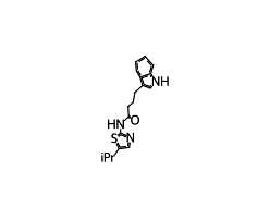 CC(C)c1cnc(NC(=O)CCCc2c[nH]c3ccccc23)s1